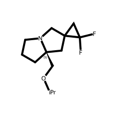 CC(C)OC[C@@]12CCCN1CC1(CC1(F)F)C2